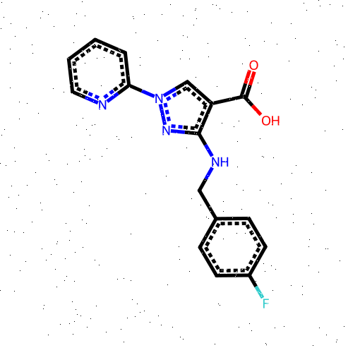 O=C(O)c1cn(-c2ccccn2)nc1NCc1ccc(F)cc1